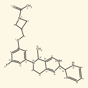 CC(=O)N1CC(COc2cc(F)nc(N3CCC4=NC(C5N=CC=CN5)NC=C4C3C)c2)C1